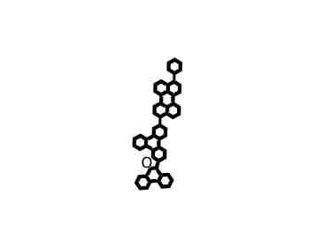 c1ccc(-c2ccc3c4cccc5c(-c6ccc7c(c6)c6ccccc6c6c7ccc7c6oc6c8ccccc8c8ccccc8c76)ccc(c6cccc2c36)c54)cc1